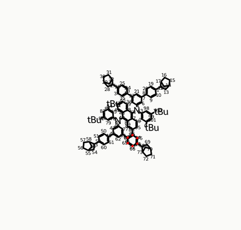 CC(C)(C)c1cc(N(c2cc(-c3ccc(C4CC5CCC4C5)cc3)cc(-c3ccc(C4CC5CCC4C5)cc3)c2)c2c3ccccc3c(N(c3cc(-c4ccc(C5CC6CCC5C6)cc4)cc(-c4ccc(C5CC6CCC5C6)cc4)c3)c3cc(C(C)(C)C)cc(C(C)(C)C)c3)c3cc(-c4ccccc4)ccc23)cc(C(C)(C)C)c1